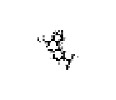 FC(F)c1ccc2nc(Cl)c3nocc3c2c1